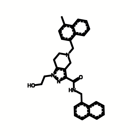 Cc1ccc(CN2CCc3c(c(C(=O)NCc4cccc5ccccc45)nn3CCO)C2)c2ccccc12